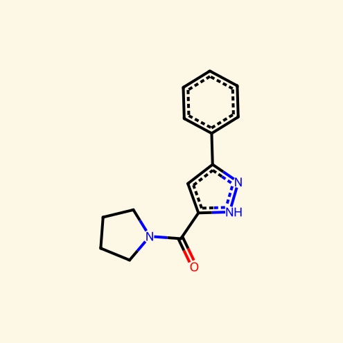 O=C(c1cc(-c2ccccc2)n[nH]1)N1CCCC1